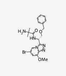 COc1cc(Br)cn2c([C@@H](COCc3ccccc3)NC(=O)C(C)(C)N)nnc12